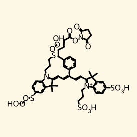 CC1(C)C(/C=C/C(=C/C=C2/N(CCCSOOO)c3ccc(SOOO)cc3C2(C)C)c2cccc(CCCCC(=O)ON3C(=O)CCC3=O)c2)=[N+](CCCS(=O)(=O)O)c2ccc(S(=O)(=O)O)cc21